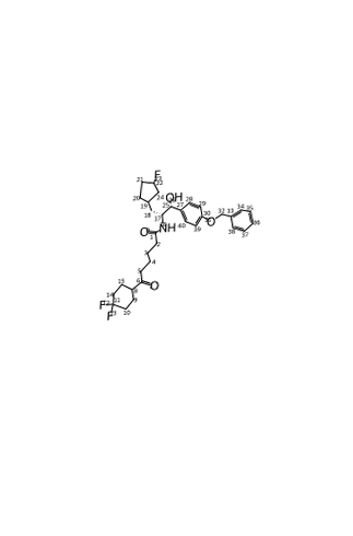 O=C(CCCCC(=O)C1CCC(F)(F)CC1)N[C@H](CC1CC[C@@H](F)C1)[C@H](O)c1ccc(OCc2ccccc2)cc1